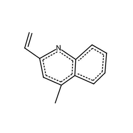 C=Cc1cc(C)c2ccccc2n1